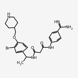 CC(NC(=O)CC(=O)Nc1ccc(C(=N)N)cc1)c1ccc(OCC2CCNCC2)c(Br)c1